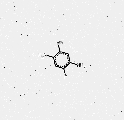 CCCc1cc(N)c(F)cc1N